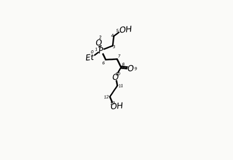 CCP(=O)(CCO)CCC(=O)OCCO